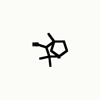 CC12CCB(C1)C(C)(C)C2O